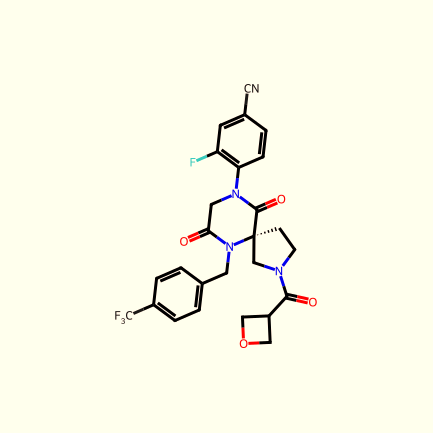 N#Cc1ccc(N2CC(=O)N(Cc3ccc(C(F)(F)F)cc3)[C@@]3(CCN(C(=O)C4COC4)C3)C2=O)c(F)c1